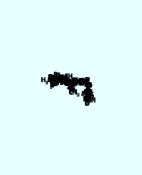 COc1cc(N2CCC(N3CCN(C(=O)[C@@H]4CCN(c5cc(F)c(C6CCC(=O)NC6=O)c(F)c5)C4)CC3)CC2)c(-c2cnn(C)c2)cc1Nc1ncc(Br)c(Nc2ccc(F)cc2P(C)(C)=O)n1